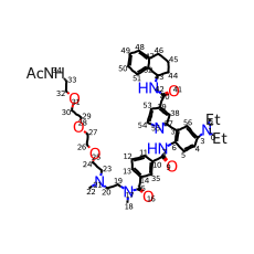 CCN(CC)c1ccc(NC(=O)c2cccc(C(=O)N(C)CCN(C)CCOCCOCCOCCNC(C)=O)c2)c(-c2cc(C(=O)NC3CCCc4ccccc43)ccn2)c1